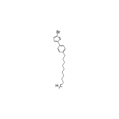 CCCCCCCCCCc1ccc(-c2ccc(Br)s2)cc1